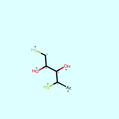 CC(=O)C(S)C(O)C(O)CS